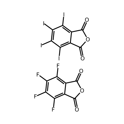 O=C1OC(=O)c2c(F)c(F)c(F)c(F)c21.O=C1OC(=O)c2c(I)c(I)c(I)c(I)c21